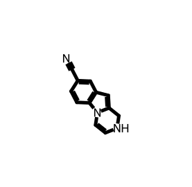 N#Cc1ccc2c(c1)cc1n2C=CNC1